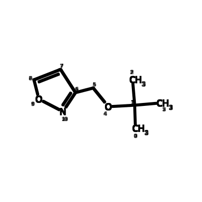 CC(C)(C)OCc1ccon1